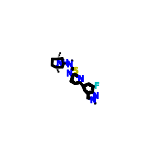 CN(c1nc2ccc(-c3cc(F)c4nn(C)cc4c3)nc2s1)[C@@H]1C[C@]2(C)CC[C@](C)(C1)N2